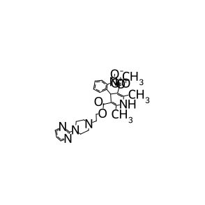 COC(=O)C1=C(C)NC(C)=C(C(=O)OCCN2CCN(c3ncccn3)CC2)C1c1ccccc1[N+](=O)[O-]